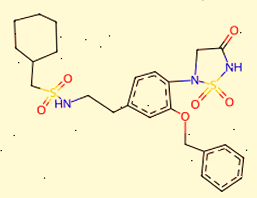 O=C1CN(c2ccc(CCNS(=O)(=O)CC3CCCCC3)cc2OCc2ccccc2)S(=O)(=O)N1